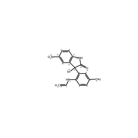 C=CNc1ccc(OC(C)=O)cc1C1(CC)C(=O)Nc2ccc([N+](=O)[O-])cc21